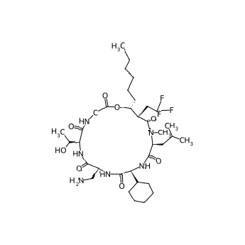 CCCCCC[C@H]1OC(=O)CNC(=O)[C@H](C(C)O)NC(=O)[C@H](CN)NC(=O)[C@H](C2CCCCC2)NC(=O)[C@H](CC(C)C)N(C)C(=O)[C@@H]1CC(F)(F)F